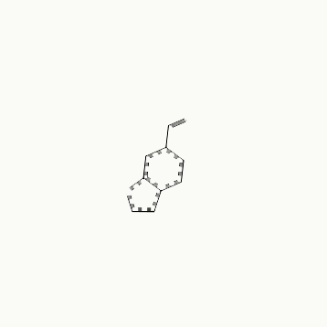 C=Cc1ccc2ccsc2c1